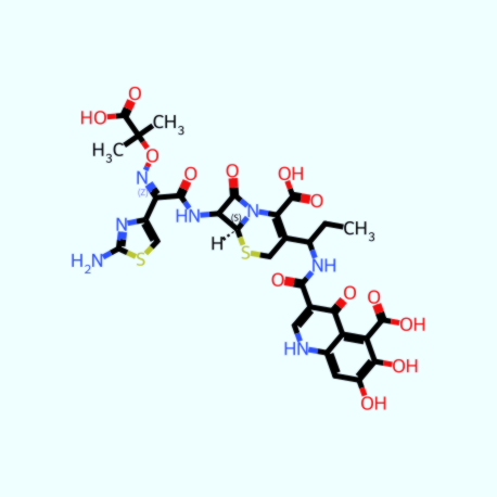 CCC(NC(=O)c1c[nH]c2cc(O)c(O)c(C(=O)O)c2c1=O)C1=C(C(=O)O)N2C(=O)C(NC(=O)/C(=N\OC(C)(C)C(=O)O)c3csc(N)n3)[C@@H]2SC1